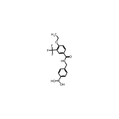 CCOc1ccc(C(=O)NCc2ccc(B(O)O)cc2)cc1C(F)(F)F